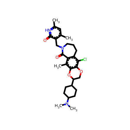 Cc1cc(C)c(CN2CCCc3c(Cl)c4c(c(C)c3C2=O)OC(C2CCC(N(C)C)CC2)CO4)c(=O)[nH]1